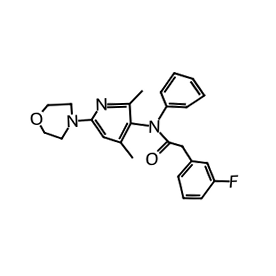 Cc1cc(N2CCOCC2)nc(C)c1N(C(=O)Cc1cccc(F)c1)c1ccccc1